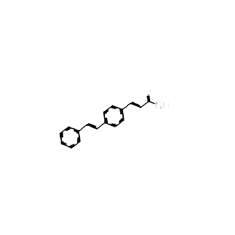 NC(=O)C=Cc1ccc(C=Cc2ccccc2)cc1